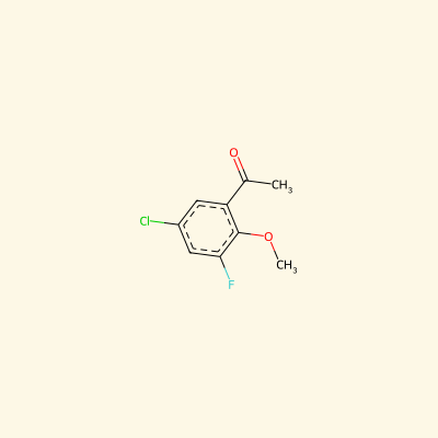 COc1c(F)cc(Cl)cc1C(C)=O